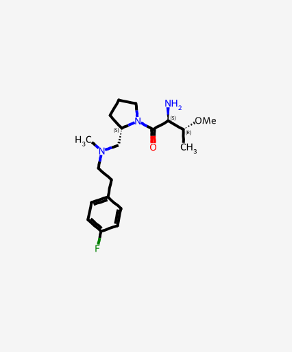 CO[C@H](C)[C@H](N)C(=O)N1CCC[C@H]1CN(C)CCc1ccc(F)cc1